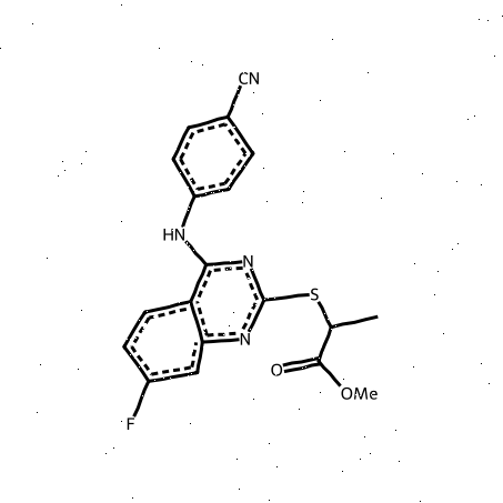 COC(=O)C(C)Sc1nc(Nc2ccc(C#N)cc2)c2ccc(F)cc2n1